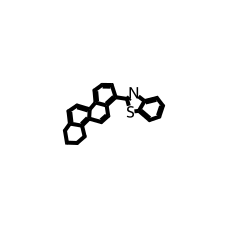 c1ccc2sc(-c3cccc4c3ccc3c5c(ccc34)CCCC5)nc2c1